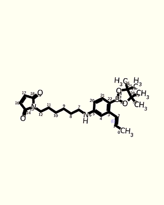 C/C=C/c1cc(NCCCCCCN2C(=O)C=CC2=O)ccc1B1OC(C)(C)C(C)(C)O1